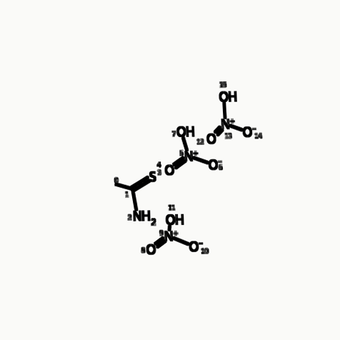 CC(N)=S.O=[N+]([O-])O.O=[N+]([O-])O.O=[N+]([O-])O